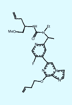 C=CCCOc1nc(-c2cc(C(C)N(CC)C(=O)NC(CC=C)COC)ncc2F)cn2ccnc12